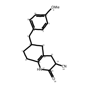 COc1ccc(CC2CCC3=C(C2)CC(C#N)C(=O)N3)cc1